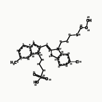 Cc1ccc2sc(C=C3Sc4ccc(Cl)cc4N3CCCSOOO)[n+](CCCS(=O)(=O)O)c2c1